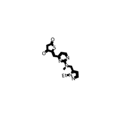 CCn1nccc1CN(C)c1nccc(/C=C2\SC(=O)CC2=O)n1